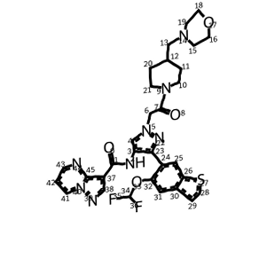 O=C(Nc1cn(CC(=O)N2CCC(CN3CCOCC3)CC2)nc1-c1cc2sccc2cc1OC(F)F)c1cnn2cccnc12